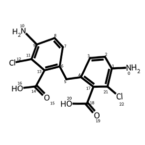 Nc1ccc(Cc2ccc(N)c(Cl)c2C(=O)O)c(C(=O)O)c1Cl